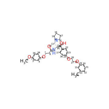 COc1ccc(OCCC(=O)N[C@H](CN2CCCC2)[C@H](O)c2ccc(OCCOc3cccc(C)c3)cc2)cc1